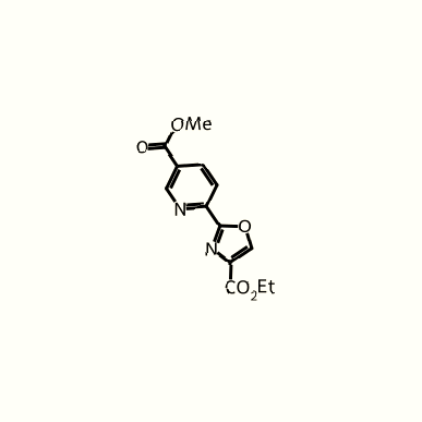 CCOC(=O)c1coc(-c2ccc(C(=O)OC)cn2)n1